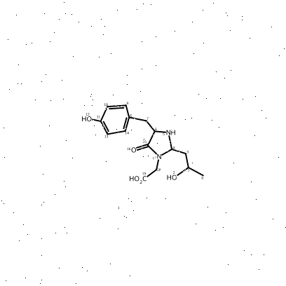 CC(O)CC1NC(Cc2ccc(O)cc2)C(=O)N1CC(=O)O